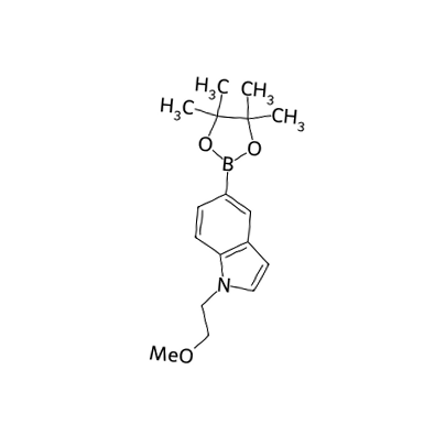 COCCn1ccc2cc(B3OC(C)(C)C(C)(C)O3)ccc21